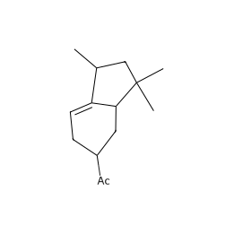 CC(=O)C1CC=C2C(C)CC(C)(C)C2C1